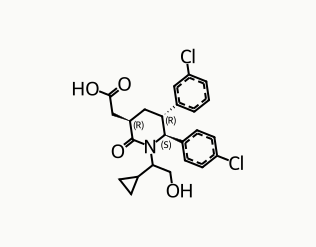 O=C(O)C[C@H]1C[C@H](c2cccc(Cl)c2)[C@@H](c2ccc(Cl)cc2)N(C(CO)C2CC2)C1=O